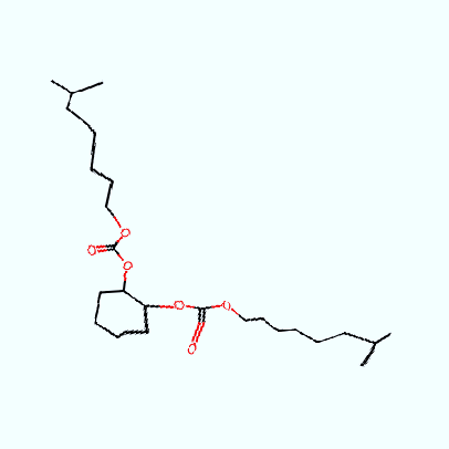 CC(C)CCCCCCOC(=O)OC1CCCCC1OC(=O)OCCCCCC(C)C